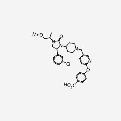 COCC(C)N1CC(c2cccc(Cl)c2)N(C2CCN(Cc3ccc(Oc4ccc(C(=O)O)cc4)nc3)CC2)C1=O